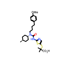 COc1ccc(CCCCN(C(=O)Nc2ncc(SC(C)(C)C(=O)O)s2)[C@H]2CC[C@H](C)CC2)cc1